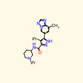 Cc1cc(-c2[nH]nc(C(=O)NC3CCCN(C(C)C)C3)c2C(C)C)cn2ncnc12